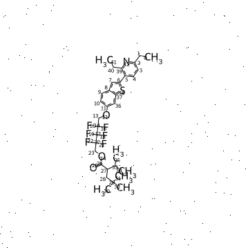 CCc1ccc(-c2cc3ccc(OCC(F)(F)C(F)(F)C(F)(F)COC(=O)C(CC(C)(C)C)C(C)C)cc3s2)c(CC)n1